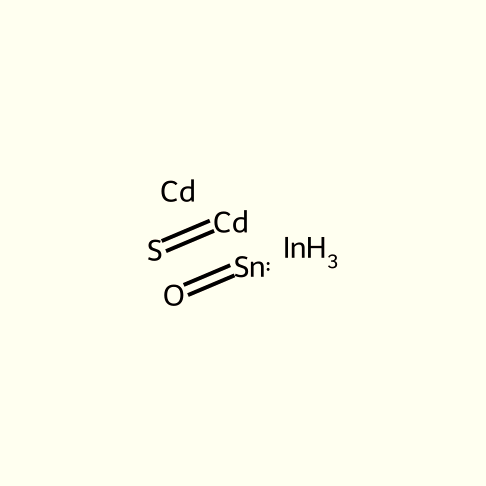 [Cd].[InH3].[O]=[Sn].[S]=[Cd]